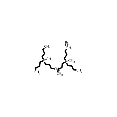 CCCC[P+](C)(CCCC)CCCC.CCCC[P+](C)(CCCC)CCCC.[Br-].[Cl-]